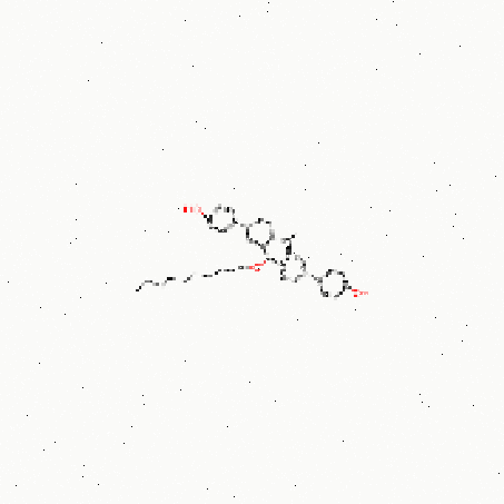 CCCCCCCCCCOc1c2ccc(-c3ccc(O)cc3)cc2c(C)c2ccc(-c3ccc(O)cc3)cc12